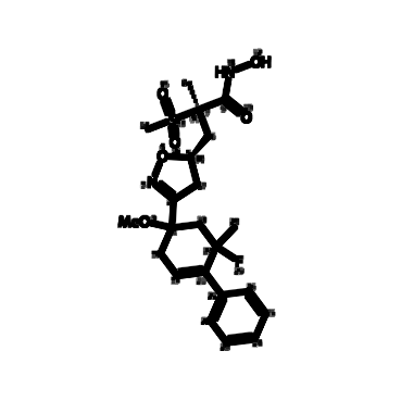 COC1(C2=NO[C@@H](C[C@](C)(C(=O)NO)S(C)(=O)=O)C2)CC=C(c2ccccc2)C(C)(F)C1